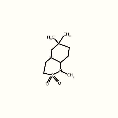 CN1C2CCC(C)(C)CC2CCS1(=O)=O